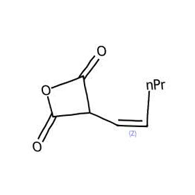 CCC/C=C\C1C(=O)OC1=O